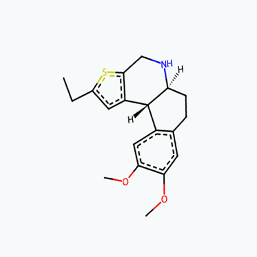 CCc1cc2c(s1)CN[C@H]1CCc3cc(OC)c(OC)cc3[C@H]21